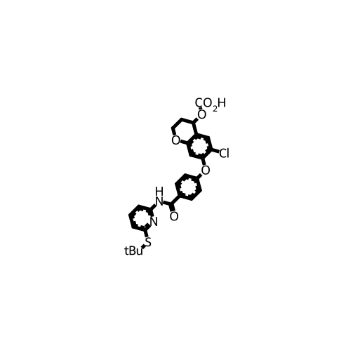 CC(C)(C)Sc1cccc(NC(=O)c2ccc(Oc3cc4c(cc3Cl)C(OC(=O)O)CCO4)cc2)n1